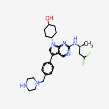 C[C@@H](CC(F)F)Nc1ncc2c(-c3ccc(CN4CCNCC4)cc3)cn([C@H]3CC[C@H](O)CC3)c2n1